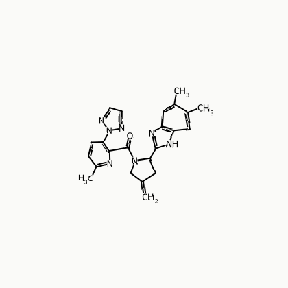 C=C1CC(c2nc3cc(C)c(C)cc3[nH]2)N(C(=O)c2nc(C)ccc2-n2nccn2)C1